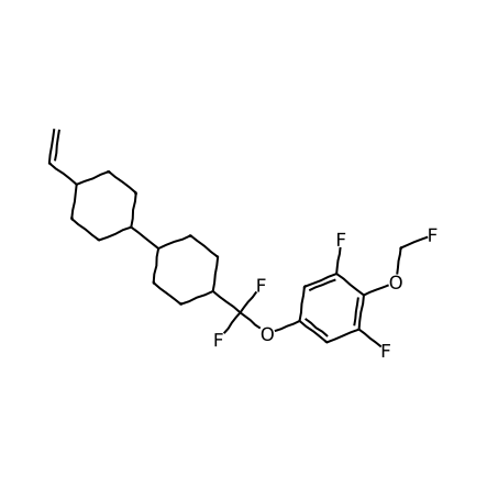 C=CC1CCC(C2CCC(C(F)(F)Oc3cc(F)c(OCF)c(F)c3)CC2)CC1